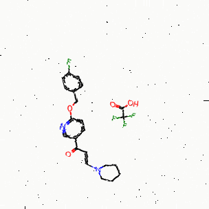 O=C(C=CN1CCCCC1)c1ccc(OCc2ccc(F)cc2)nc1.O=C(O)C(F)(F)F